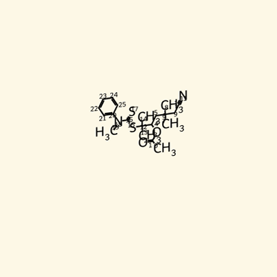 CC(=O)OC(CC(C)(C)CC#N)C(C)(C)SC(=S)N(C)c1ccccc1